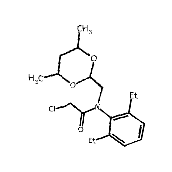 CCc1cccc(CC)c1N(CC1OC(C)CC(C)O1)C(=O)CCl